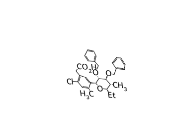 CC[C@H]1O[C@@H](c2cc(CC(=O)O)c(Cl)cc2C)[C@H](OCc2ccccc2)[C@@H](OCc2ccccc2)[C@@H]1C